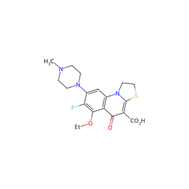 CCOc1c(F)c(N2CCN(C)CC2)cc2c1c(=O)c(C(=O)O)c1n2CCS1